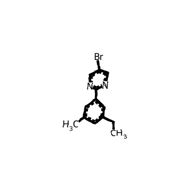 CCc1cc(C)cc(-c2ncc(Br)cn2)c1